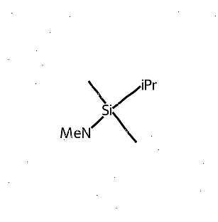 CN[Si](C)(C)C(C)C